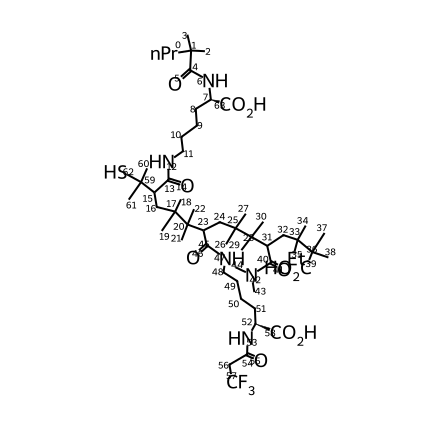 CCCC(C)(C)C(=O)N[C@H](CCCCNC(=O)C(CC(C)(C)C(C)(C)C(CC(C)(C)C(C)(C)C(CC(C)(CC)C(C)(C)C(=O)O)C(=O)N(C)C)C(=O)NCCCC[C@H](NC(=O)CC(F)(F)F)C(=O)O)C(C)(C)S)C(=O)O